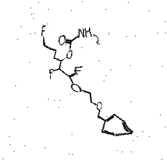 NC(=O)OC(CCCF)C(F)C(F)OCCOCc1ccccc1